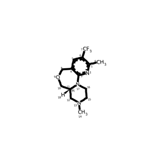 Cc1nc2c(cc1C(F)(F)F)COC[C@H]1CN(C)CCN21